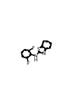 Fc1cccc(F)c1Nc1nc2ccccc2s1